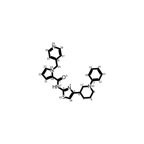 O=C(Nc1nc(C2CCCN(c3ccccc3)C2)cs1)c1cccn1Cc1ccncc1